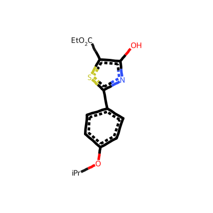 CCOC(=O)c1sc(-c2ccc(OC(C)C)cc2)nc1O